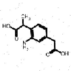 CC(C(=O)O)c1ccc(CC(=O)O)cc1N